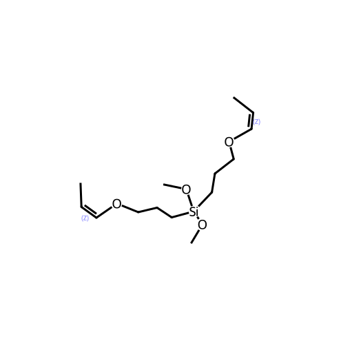 C/C=C\OCCC[Si](CCCO/C=C\C)(OC)OC